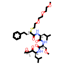 COCCOCCOCCS[C@@H](CCc1ccccc1)C(=O)N[C@@H](CC(C)C)C(=O)N[C@@H](COC)C(=O)N[C@@H](CC(C)C)C(=O)[C@@]1(C)CO1